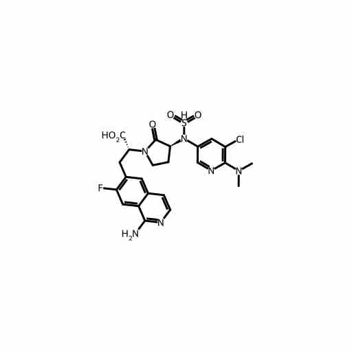 CN(C)c1ncc(N([C@H]2CCN([C@H](Cc3cc4ccnc(N)c4cc3F)C(=O)O)C2=O)[SH](=O)=O)cc1Cl